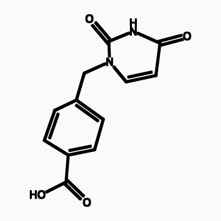 O=C(O)c1ccc(Cn2ccc(=O)[nH]c2=O)cc1